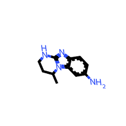 CC1CCNc2nc3ccc(N)cc3n21